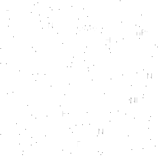 CCCc1cnc(Nc2ccc(C(C)(F)F)nc2)cc1Nc1cccc(-c2ncc(F)cn2)c1OC